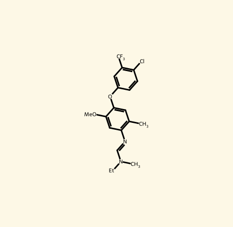 CCN(C)C=Nc1cc(OC)c(Oc2ccc(Cl)c(C(F)(F)F)c2)cc1C